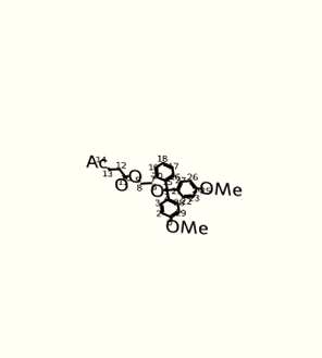 COc1ccc(C(OCCOC(=O)CCC(C)=O)(c2ccccc2)c2ccc(OC)cc2)cc1